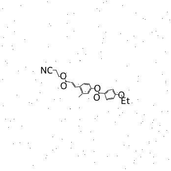 CCOc1ccc(C(=O)Oc2ccc(/C=C/C(=O)OCCC#N)c(C)c2)cc1